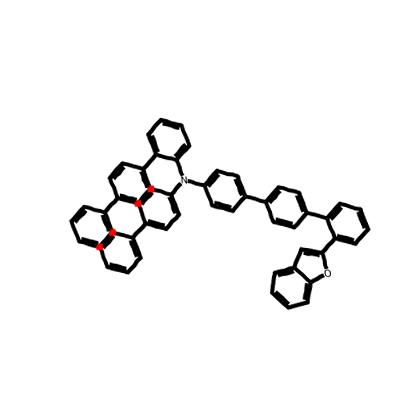 c1ccc(-c2ccc(-c3ccccc3N(c3ccc(-c4ccccc4)cc3)c3ccc(-c4ccc(-c5ccccc5-c5cc6ccccc6o5)cc4)cc3)cc2)cc1